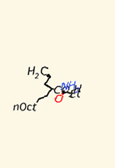 C=CCC(CCCCCCCCCC)C(=O)O.CCC(N)=O